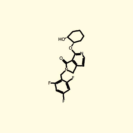 O=C1c2c(ccnc2O[C@@H]2CCCC[C@H]2O)CN1Cc1c(F)cc(F)cc1F